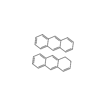 C1=Cc2cc3ccccc3cc2CC1.c1ccc2cc3ccccc3cc2c1